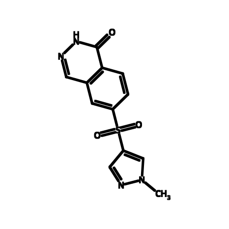 Cn1cc(S(=O)(=O)c2ccc3c(=O)[nH]ncc3c2)cn1